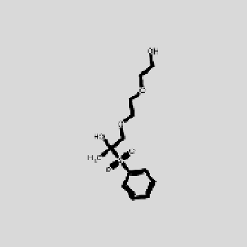 CC(O)(COCCOCCO)S(=O)(=O)c1ccccc1